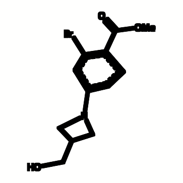 COC(=O)c1ccc(N2CC(CO)C2)cc1Br